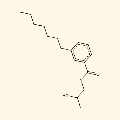 CCCCCCCc1cccc(C(=O)NCC(C)O)c1